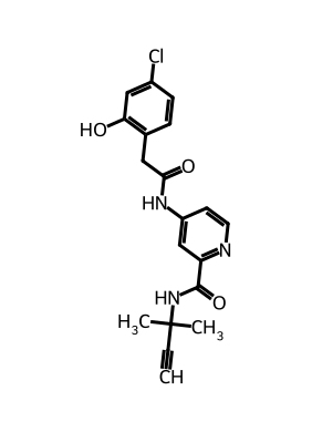 C#CC(C)(C)NC(=O)c1cc(NC(=O)Cc2ccc(Cl)cc2O)ccn1